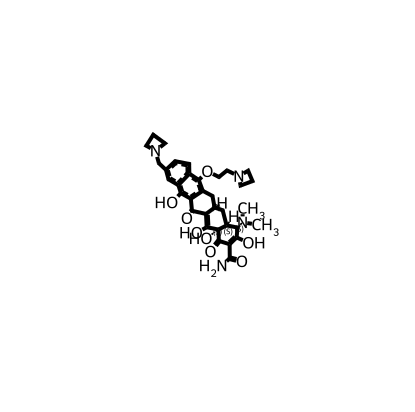 CN(C)[C@@H]1C(O)=C(C(N)=O)C(=O)[C@@]2(O)C(O)=C3C(=O)c4c(c(OCCN5CCC5)c5ccc(CN6CCC6)cc5c4O)C[C@H]3C[C@@H]12